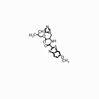 COc1ccc2nc(C(=O)NC(Cn3ccnc3)C(=O)OCC(C)C)sc2c1